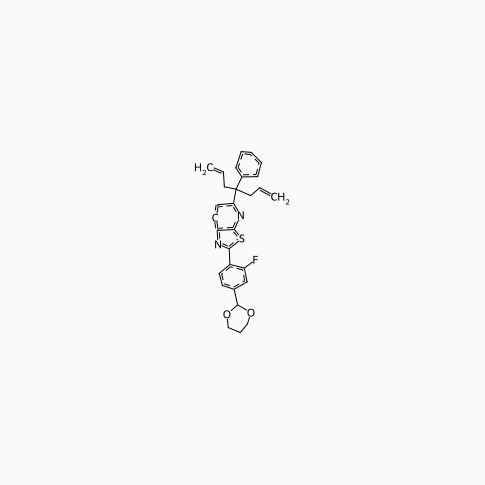 C=CCC(CC=C)(c1ccccc1)c1ccc2nc(-c3ccc(C4OCCCO4)cc3F)sc2n1